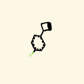 Fc1ccc(C2C#CC2)cc1